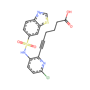 O=C(O)CCCC#Cc1nc(Cl)ccc1NS(=O)(=O)c1ccc2ncsc2c1